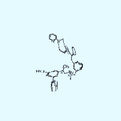 C[C@H](Cc1cccc(CC(=O)N2CCN(c3ccccn3)CC2)c1)NC[C@H](O)c1cc(O)cc(O)c1